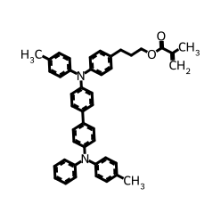 C=C(C)C(=O)OCCCc1ccc(N(c2ccc(C)cc2)c2ccc(-c3ccc(N(c4ccccc4)c4ccc(C)cc4)cc3)cc2)cc1